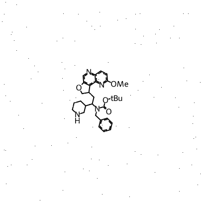 COc1ccc2ncc3c(c2n1)C(CC(C1CCCNC1)N(Cc1ccccc1)C(=O)OC(C)(C)C)CO3